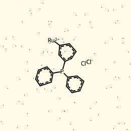 [Cl-].[Cl-].[Ru+2][c]1cccc(P(c2ccccc2)c2ccccc2)c1